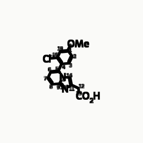 COc1ccc(-c2cccc3nc(CC(=O)O)cn23)c(Cl)c1